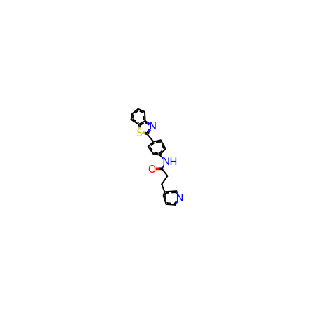 O=C(CCc1cccnc1)Nc1ccc(-c2nc3ccccc3s2)cc1